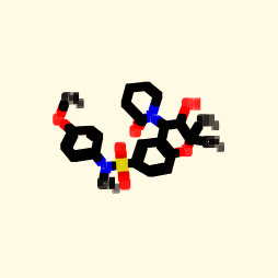 COc1ccc(N(C)S(=O)(=O)c2ccc3c(c2)C(N2CCCCC2=O)C(O)C(C)(C)O3)cc1